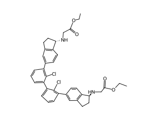 CCOC(=O)CN[C@H]1CCc2cc(-c3cccc(-c4cccc(-c5ccc6c(c5)CC[C@@H]6NCC(=O)OCC)c4Cl)c3Cl)ccc21